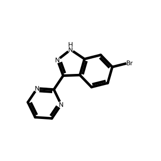 Brc1ccc2c(-c3ncccn3)n[nH]c2c1